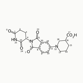 O=C1CCC(N2C(=O)c3ccc(N4CCCC(C(=O)O)C4)cc3C2=O)C(=O)N1